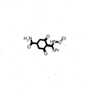 CCCC(NOCC)=C1C(=O)CC(C(N)=O)CC1=O